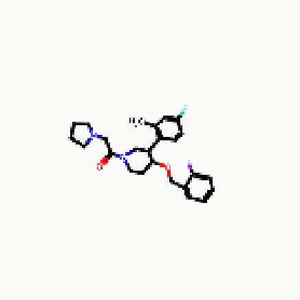 Cc1cc(F)ccc1C1CN(C(=O)CN2CCCC2)CCC1OCc1ccccc1I